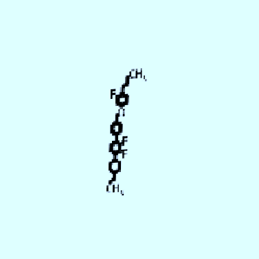 CCCCc1ccc(OCc2ccc(-c3ccc(C4CCC(CCC)CC4)c(F)c3F)cc2)cc1F